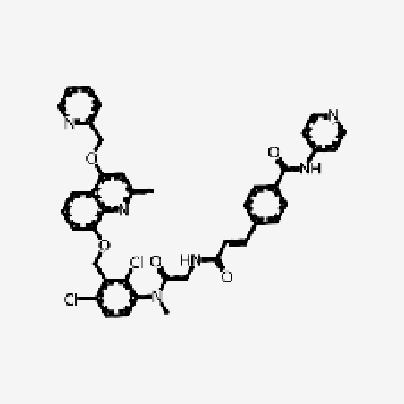 Cc1cc(OCc2ccccn2)c2cccc(OCc3c(Cl)ccc(N(C)C(=O)CNC(=O)/C=C/c4ccc(C(=O)Nc5ccncc5)cc4)c3Cl)c2n1